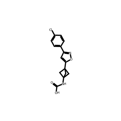 O=C(O)NC12CC(c3cc(-c4ccc(Cl)cc4)no3)(C1)C2